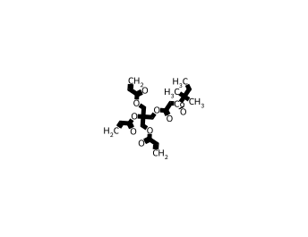 C=CC(=O)OCC(COC(=O)C=C)(COC(=O)[CH2][Co](=[O])[C](C)(C)CC)OC(=O)C=C